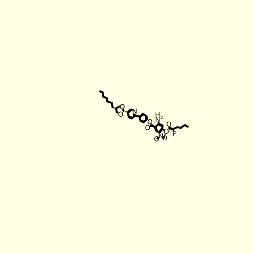 CCCCCCC[C@H]1CO[C@H](c2ccc(-c3ccc(OC(=O)c4cc([N+](=O)[O-])c(OC(=O)[C@H](F)CCCC)cc4N)cc3)nc2)OC1